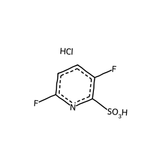 Cl.O=S(=O)(O)c1nc(F)ccc1F